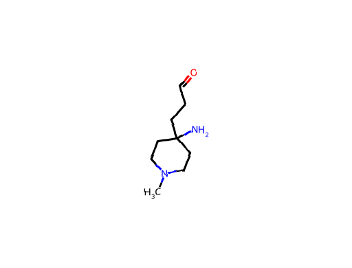 CN1CCC(N)(CCC=O)CC1